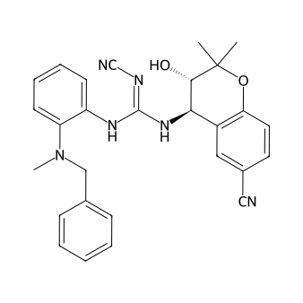 CN(Cc1ccccc1)c1ccccc1NC(=NC#N)N[C@@H]1c2cc(C#N)ccc2OC(C)(C)[C@H]1O